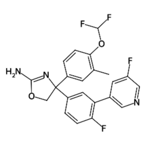 Cc1cc(C2(c3ccc(F)c(-c4cncc(F)c4)c3)COC(N)=N2)ccc1OC(F)F